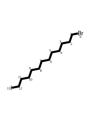 BrCCCCCCCCCCCCI